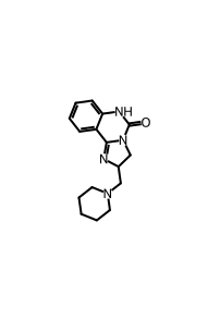 O=C1Nc2ccccc2C2=NC(CN3CCCCC3)CN12